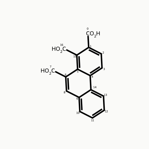 O=C(O)c1ccc2c(c(C(=O)O)cc3ccccc32)c1C(=O)O